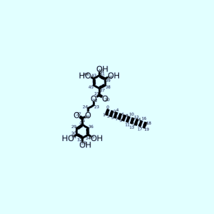 C=C.C=C.C=C.C=C.C=C.C=C.C=C.C=C.C=C.C=C.O=C(OCCOC(=O)c1cc(O)c(O)c(O)c1)c1cc(O)c(O)c(O)c1